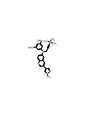 COc1cc(OC)cc(N(CC#C[Si](C)(C)C)c2ccc3ncc(-c4cnn(C)c4)cc3c2)c1